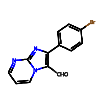 O=Cc1c(-c2ccc(Br)cc2)nc2ncccn12